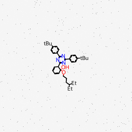 CCC(CC)CCCOC1(O)C=CC=CC1c1nc(-c2ccc(C(C)(C)C)cc2)nc(-c2ccc(C(C)(C)C)cc2)n1